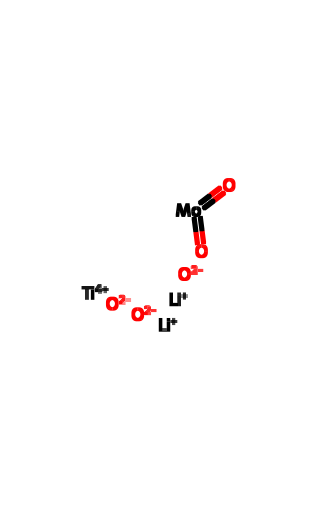 [Li+].[Li+].[O-2].[O-2].[O-2].[O]=[Mo]=[O].[Ti+4]